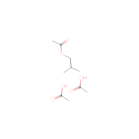 CC(=O)O.CC(=O)O.CC(=O)OCC(C)C